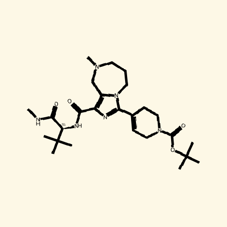 CNC(=O)[C@@H](NC(=O)c1nc(C2=CCN(C(=O)OC(C)(C)C)CC2)n2c1CN(C)CCC2)C(C)(C)C